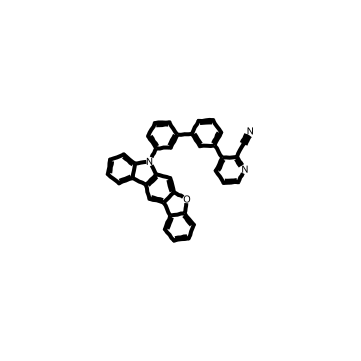 N#Cc1ncccc1-c1cccc(-c2cccc(-n3c4ccccc4c4cc5c(cc43)oc3ccccc35)c2)c1